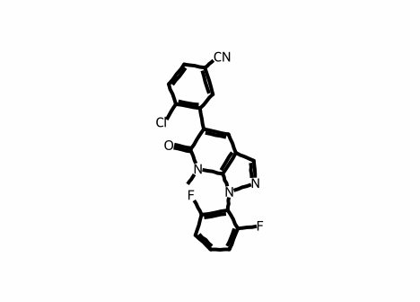 Cn1c(=O)c(-c2cc(C#N)ccc2Cl)cc2cnn(-c3c(F)cccc3F)c21